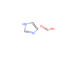 O=CO.c1c[nH]cn1